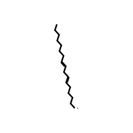 [CH2]CCCCC=CCC=CCCCCCCC